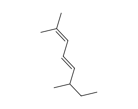 CCC(C)C=CC=C(C)C